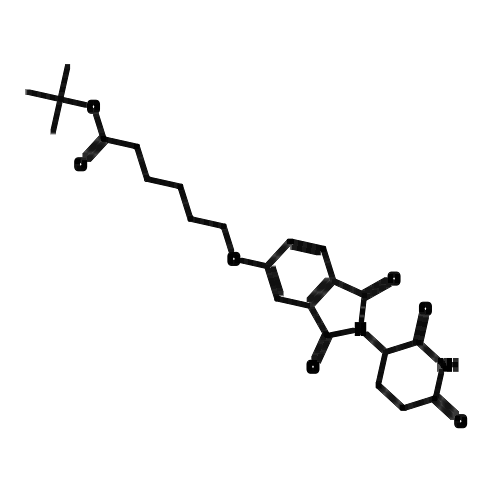 CC(C)(C)OC(=O)CCCCCOc1ccc2c(c1)C(=O)N(C1CCC(=O)NC1=O)C2=O